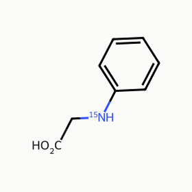 O=C(O)C[15NH]c1ccccc1